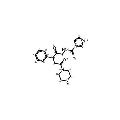 O=C(CN(C(=O)CNC(=O)n1ccnc1)c1ccccc1)N1CCSCC1